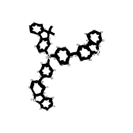 CC1(C)c2ccccc2-c2ccc(N(c3ccc(C4=CC5c6ccccc6OC5C=C4)cc3)c3ccc(-c4ccc5oc6ccccc6c5c4)cc3)cc21